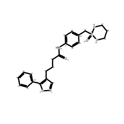 O=C(CCCc1cnoc1-c1ccccc1)Nc1ccc(CP2(=O)OCCCO2)cc1